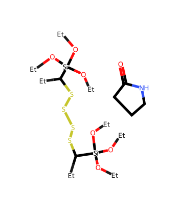 CCO[Si](OCC)(OCC)C(CC)SSSSC(CC)[Si](OCC)(OCC)OCC.O=C1CCCN1